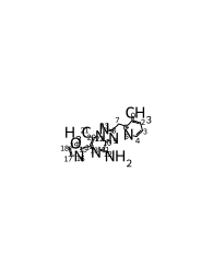 Cc1cccnc1Cc1nc2c(N)nc(-c3ncco3)c(C)n2n1